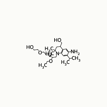 CCOC(CN1c2cc(C(C)C)c(N)cc2C(CO)CC1(C)C)OCCOCCO